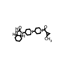 CC1CC1C(=O)N1CCC(N2CCC(N3C(=O)N[C@H]4CCCC[C@@H]43)CC2)CC1